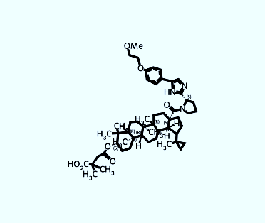 COCCOc1ccc(-c2cnc([C@@H]3CCCN3C(=O)[C@]34CCC(C5(C)CC5)[C@@H]3[C@H]3CC[C@@H]5[C@@]6(C)CC[C@H](OC(=O)CC(C)(C)C(=O)O)C(C)(C)[C@@H]6CC[C@@]5(C)[C@]3(C)CC4)[nH]2)cc1